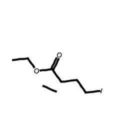 CC.CCOC(=O)CCCI